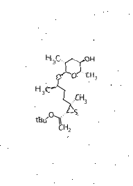 C=C(OC(C)(C)C)[C@H]1S[C@]1(C)CC[C@@H](C)O[C@@H]1O[C@@H](C)[C@H](O)C[C@H]1C